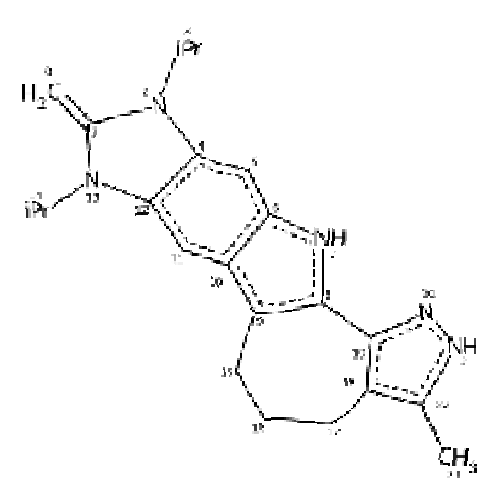 C=C1N(C(C)C)c2cc3[nH]c4c(c3cc2N1C(C)C)CCCc1c-4n[nH]c1C